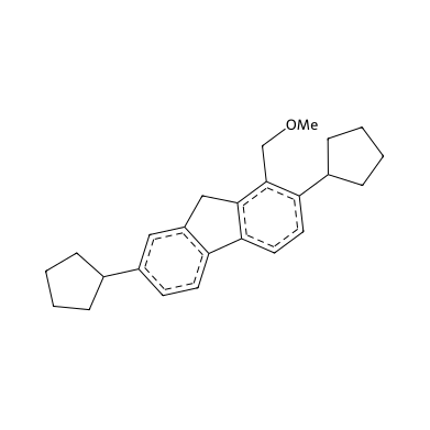 COCc1c(C2CCCC2)ccc2c1Cc1cc(C3CCCC3)ccc1-2